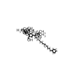 CC(C)(C)OC(=O)N(CCCCCCOCCCCc1ccccc1)CC(O)c1ccc(OP(=O)(OC(C)(C)C)OC(C)(C)C)c(CO)c1